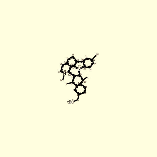 Cc1c2cc(CC(C)(C)C)ccc2c(C)c2c1c1c3c(ccc4c5cc(I)ccc5n2c43)cc[n+]1C